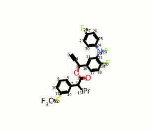 C#CC(OC(=O)C(c1cccc(SC(F)(F)F)c1)C(C)C)c1ccc(F)c(N(F)c2ccc(F)cc2)c1